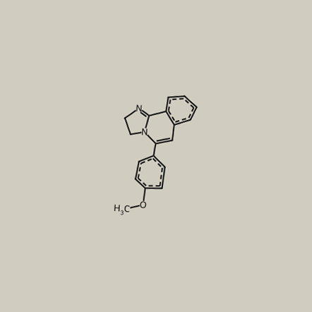 COc1ccc(C2=Cc3ccccc3C3=NCCN23)cc1